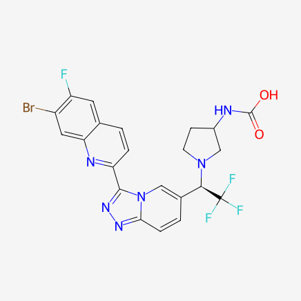 O=C(O)NC1CCN([C@H](c2ccc3nnc(-c4ccc5cc(F)c(Br)cc5n4)n3c2)C(F)(F)F)C1